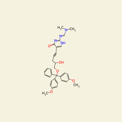 COc1ccc(C(OCC(O)CC#Cc2c[nH]c(N=CN(C)C)nc2=O)(c2ccccc2)c2ccc(OC)cc2)cc1